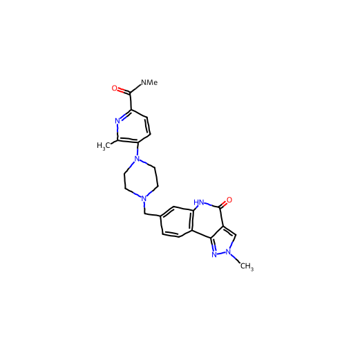 CNC(=O)c1ccc(N2CCN(Cc3ccc4c(c3)[nH]c(=O)c3cn(C)nc34)CC2)c(C)n1